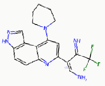 N=C(/C(=C\N)c1cc(N2CCCCC2)c2c(ccc3[nH]ncc32)n1)C(F)(F)F